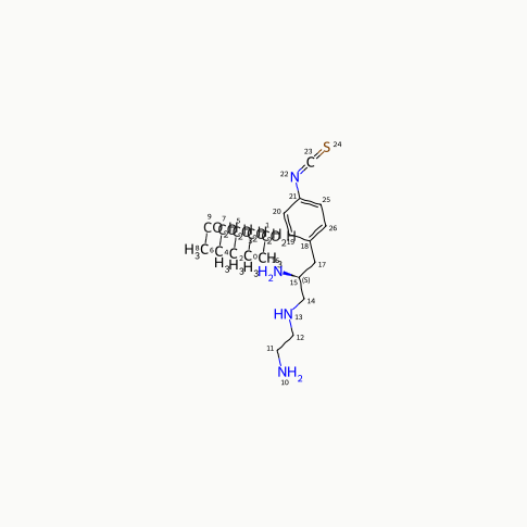 CC(=O)O.CC(=O)O.CC(=O)O.CC(=O)O.CC(=O)O.NCCNC[C@@H](N)Cc1ccc(N=C=S)cc1